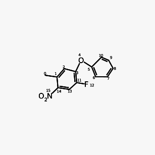 Cc1cc(Oc2ccccc2)c(F)cc1[N+](=O)[O-]